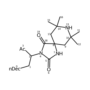 CCCCCCCCCCCC(C(C)=O)N1C(=O)NC2(CC(C)(C)NC(C)(C)C2)C1=O